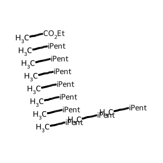 CCCC(C)C.CCCC(C)C.CCCC(C)C.CCCC(C)C.CCCC(C)C.CCCC(C)C.CCCC(C)C.CCCC(C)C.CCCC(C)C.CCOC(C)=O